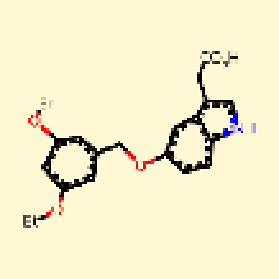 CCOc1cc(COc2ccc3[nH]cc(CC(=O)O)c3c2)cc(OCC)c1